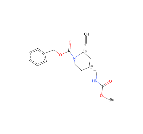 C#C[C@@H]1C[C@H](CNC(=O)OC(C)(C)C)CCN1C(=O)OCc1ccccc1